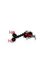 CCCC[Si](C)(C)O[Si](O[Si](C)(C)CCCCCCCCCCC(c1ccc(O)cc1)c1ccc(O)cc1)(c1ccccc1)c1ccccc1